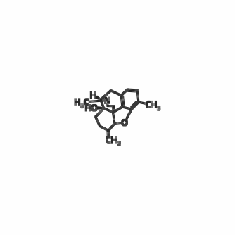 C=C1CC[C@]2(O)[C@@H]3Cc4ccc(C)c5c4[C@]2(CCN3C)C1O5